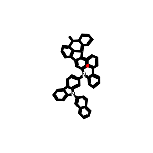 CC1c2cccc3c2C(=C2C=CC=CC21)c1ccc(N(c2ccc4c5ccccc5n(-c5ccc6ccccc6c5)c4c2)c2ccccc2-c2ccccc2)cc1-3